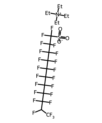 CC[N+](CC)(CC)CC.O=S(=O)([O-])C(F)(F)C(F)(F)C(F)(F)C(F)(F)C(F)(F)C(F)(F)C(F)(F)C(F)(F)C(F)(F)C(F)C(F)(F)F